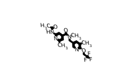 CC(=O)Nc1cc(C(=O)N(C)Cc2cnc(OCC(F)(F)F)c(C)c2)cc(C)n1